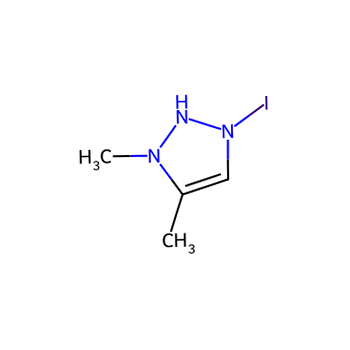 CC1=CN(I)NN1C